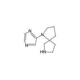 c1cnc(N2CCCC23CCNC3)cn1